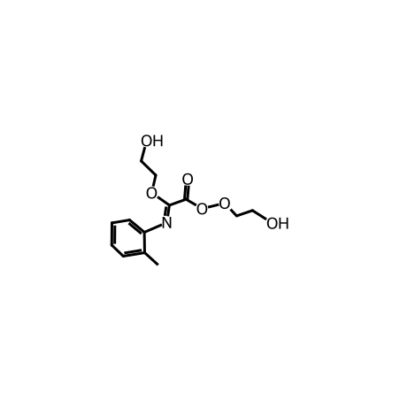 Cc1ccccc1N=C(OCCO)C(=O)OOCCO